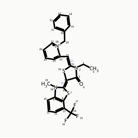 CCn1c(=O)/c(=C2\Sc3c(cccc3C(F)(F)F)N2C)s/c1=C\c1cccc[n+]1Cc1ccccc1